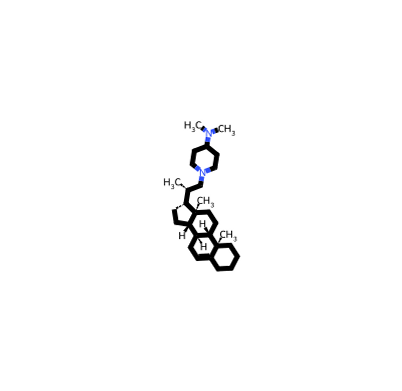 C[C@H](CN1CCC(N(C)C)CC1)[C@H]1CC[C@H]2[C@@H]3CC=C4CCCC[C@]4(C)[C@H]3CC[C@]12C